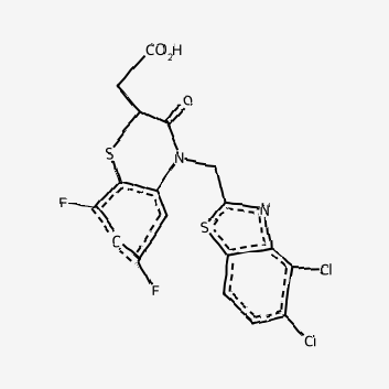 O=C(O)CC1Sc2c(F)cc(F)cc2N(Cc2nc3c(Cl)c(Cl)ccc3s2)C1=O